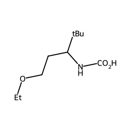 CCOCCC(NC(=O)O)C(C)(C)C